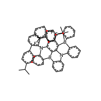 CC(C)c1ccc(-c2cccc(-c3ccc(C(C)(C)C)cc3)c2N2c3ccccc3B3c4ccccc4N4c5ccccc5B5c6ccccc6Sc6c5c4c3c2c6-c2c(F)cccc2F)cc1